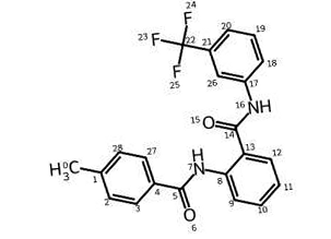 Cc1ccc(C(=O)Nc2ccccc2C(=O)Nc2cccc(C(F)(F)F)c2)cc1